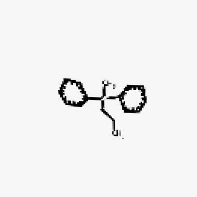 CCC[Si](C)(c1ccccc1)c1ccccc1